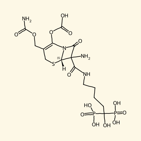 NC(=O)OCC1=C(OC(=O)O)N2C(=O)C(N)(C(=O)NCCCCC(O)(P(=O)(O)O)P(=O)(O)O)[C@@H]2SC1